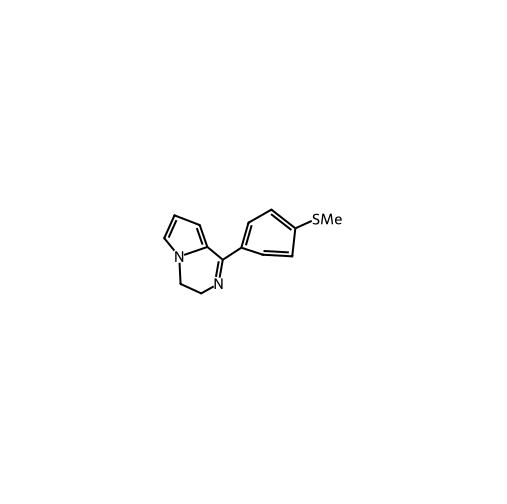 CSc1ccc(C2=NCCn3cccc32)cc1